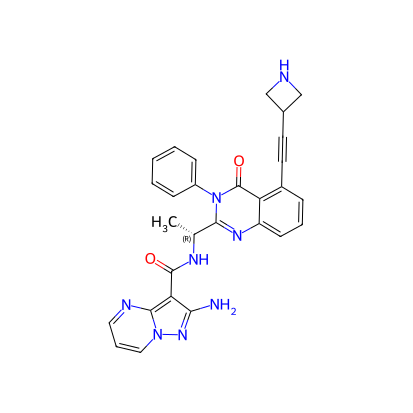 C[C@@H](NC(=O)c1c(N)nn2cccnc12)c1nc2cccc(C#CC3CNC3)c2c(=O)n1-c1ccccc1